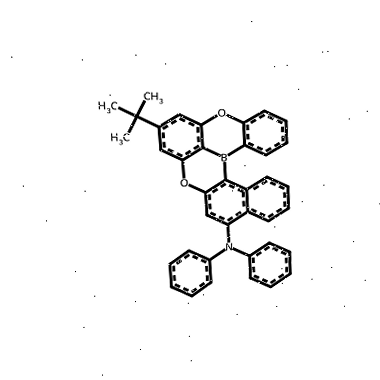 CC(C)(C)c1cc2c3c(c1)Oc1cc(N(c4ccccc4)c4ccccc4)c4ccccc4c1B3c1ccccc1O2